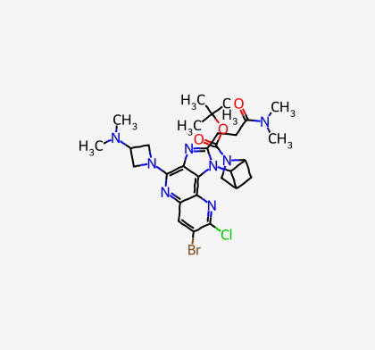 CN(C)C(=O)CCc1nc2c(N3CC(N(C)C)C3)nc3cc(Br)c(Cl)nc3c2n1C1C2CC1N(C(=O)OC(C)(C)C)C2